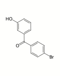 O=C(c1ccc(Br)cc1)c1cccc(O)c1